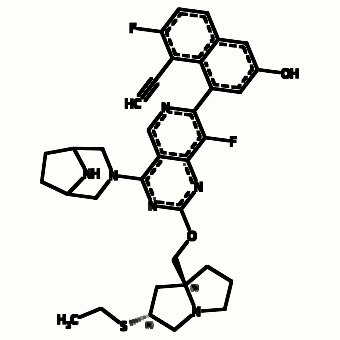 C#Cc1c(F)ccc2cc(O)cc(-c3ncc4c(N5CC6CCC(C5)N6)nc(OC[C@@]56CCCN5C[C@H](SCC)C6)nc4c3F)c12